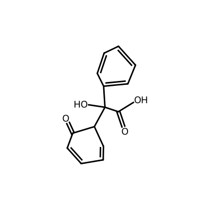 O=C1C=CC=CC1C(O)(C(=O)O)c1ccccc1